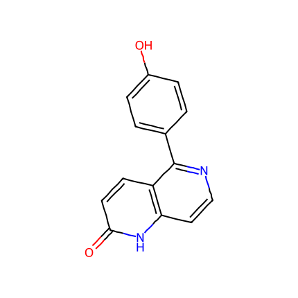 O=c1ccc2c(-c3ccc(O)cc3)nccc2[nH]1